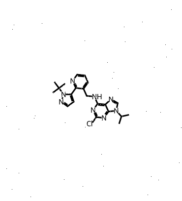 CC(C)n1cnc2c(NCc3cccnc3-c3ccnn3C(C)(C)C)nc(Cl)nc21